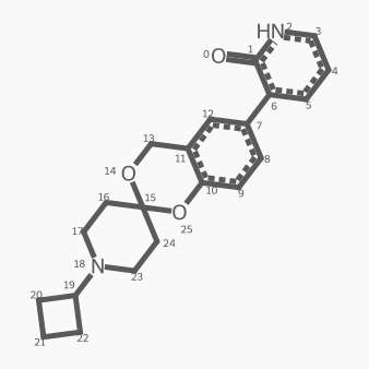 O=c1[nH]cccc1-c1ccc2c(c1)COC1(CCN(C3CCC3)CC1)O2